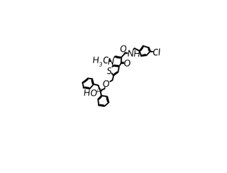 Cn1cc(C(=O)NCc2ccc(Cl)cc2)c(=O)c2cc(COC[C@](O)(Cc3ccccc3)c3ccccc3)sc21